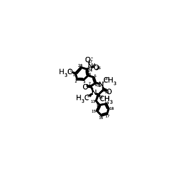 Cc1ccc(/C=C2\C(=O)N(C)C(C)(Cc3ccccc3)C(=O)N2C)c([N+](=O)[O-])c1